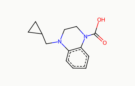 O=C(O)N1CCN(CC2CC2)c2ccccc21